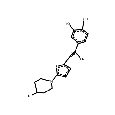 N#C/C(=C\c1ccc(N2CCC(O)CC2)s1)c1ccc(O)c(O)c1